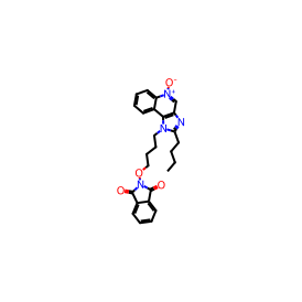 CCCCc1nc2c[n+]([O-])c3ccccc3c2n1CCCCON1C(=O)c2ccccc2C1=O